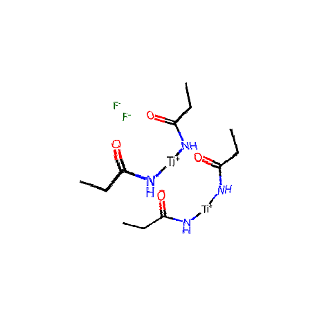 CCC(=O)[NH][Ti+][NH]C(=O)CC.CCC(=O)[NH][Ti+][NH]C(=O)CC.[F-].[F-]